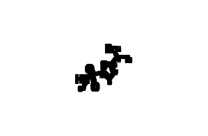 CNS(=O)(=O)c1ccc(C(C)Br)s1